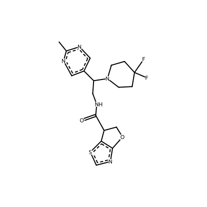 Cc1ncc(C(CNC(=O)C2COc3ncsc32)N2CCC(F)(F)CC2)cn1